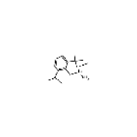 CC[C@H](N)Cc1c(C(C)C)cccc1C(C)(C)C